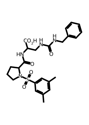 Cc1cc(C)cc(S(=O)(=O)N2CCCC2C(=O)NC(CNC(=O)NCc2ccccc2)C(=O)O)c1